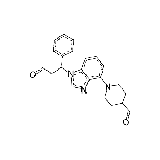 O=CCC(c1ccccc1)n1cnc2c(N3CCC(C=O)CC3)cccc21